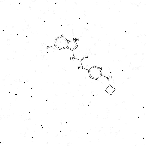 O=C(Nc1ccc(NC2CCC2)nc1)Nc1c[nH]c2ncc(F)cc12